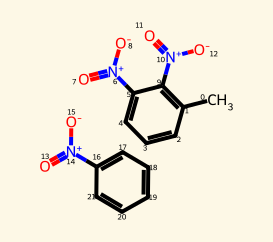 Cc1cccc([N+](=O)[O-])c1[N+](=O)[O-].O=[N+]([O-])c1ccccc1